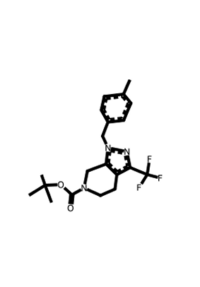 Cc1ccc(Cn2nc(C(F)(F)F)c3c2CN(C(=O)OC(C)(C)C)CC3)cc1